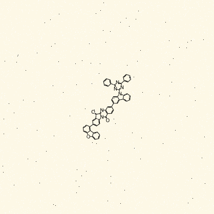 O=C1c2cc(-c3cccc4oc5ccccc5c34)ccc2-n2c1nc1cc(-c3ccc4c(c3)c3ccccc3n4-c3nc(-c4ccccc4)nc(-c4ccccc4)n3)ccc1c2=O